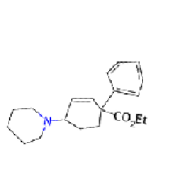 CCOC(=O)C1(c2ccccc2)C=CC(N2CCCCC2)CC1